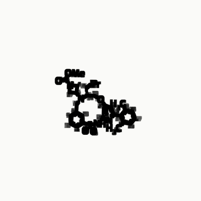 COC(=O)N1CC(N2Cc3cccc(c3)S(=O)(=O)Nc3nc(cc(-c4c(C)cccc4C)n3)OC[C@H]2CC(C)C)C1